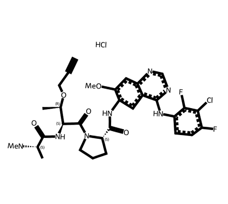 C#CCO[C@H](C)[C@H](NC(=O)[C@H](C)NC)C(=O)N1CCC[C@H]1C(=O)Nc1cc2c(Nc3ccc(F)c(Cl)c3F)ncnc2cc1OC.Cl